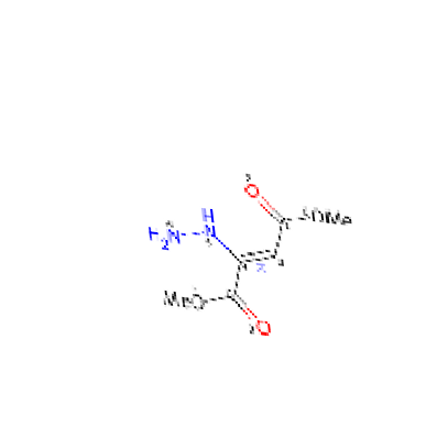 COC(=O)/C=C(\NN)C(=O)OC